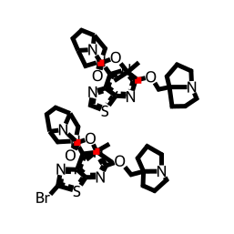 CC(C)(C)OC(=O)N1C2CCC1CN(c1nc(OCC34CCCN3CCC4)nc3sc(Br)nc13)C2.CC(C)(C)OC(=O)N1C2CCC1CN(c1nc(OCC34CCCN3CCC4)nc3scnc13)C2